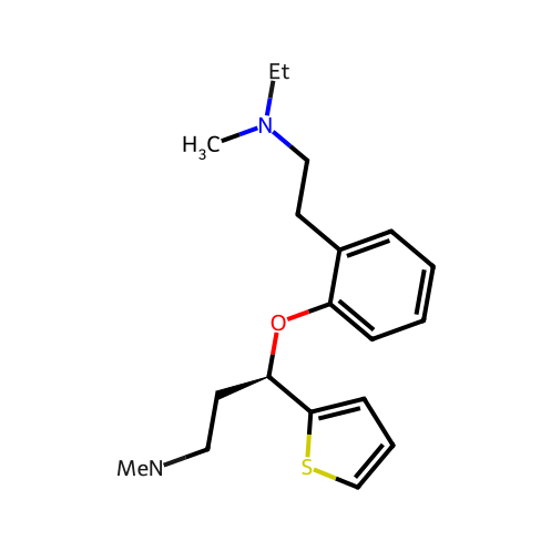 CCN(C)CCc1ccccc1O[C@H](CCNC)c1cccs1